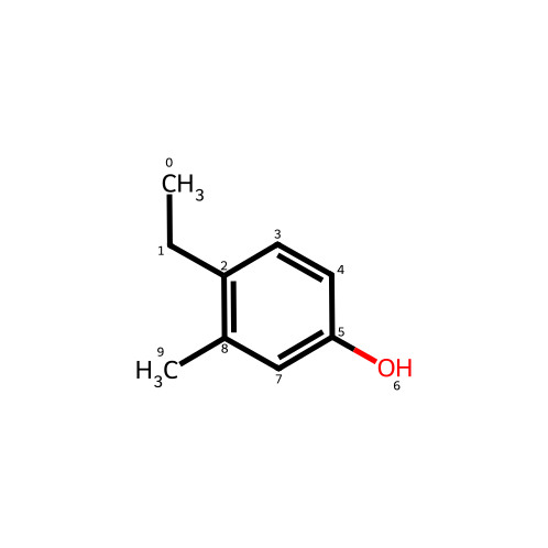 CCc1ccc(O)cc1C